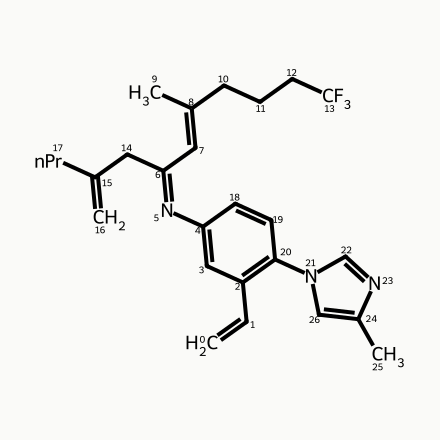 C=Cc1cc(/N=C(\C=C(/C)CCCC(F)(F)F)CC(=C)CCC)ccc1-n1cnc(C)c1